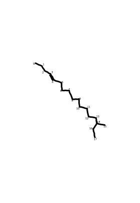 CCCC=CCCCCCCCCCC(C)CC